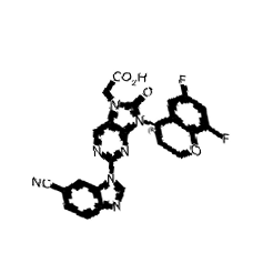 N#Cc1ccc2ncn(-c3ncc4c(n3)n([C@@H]3CCOc5c(F)cc(F)cc53)c(=O)n4CC(=O)O)c2c1